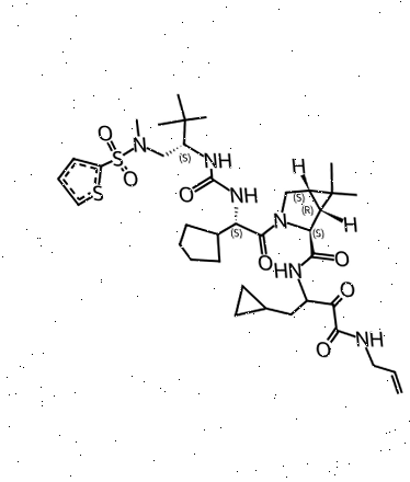 C=CCNC(=O)C(=O)C(CC1CC1)NC(=O)[C@@H]1[C@@H]2[C@H](CN1C(=O)[C@@H](NC(=O)N[C@H](CN(C)S(=O)(=O)c1cccs1)C(C)(C)C)C1CCCC1)C2(C)C